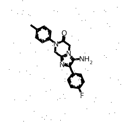 Cc1ccc(N2Cc3nc(-c4ccc(F)cc4)c(N)n3CC2=O)cc1